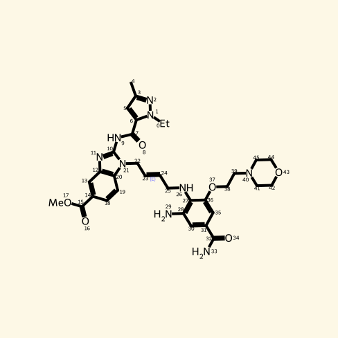 CCn1nc(C)cc1C(=O)Nc1nc2cc(C(=O)OC)ccc2n1C/C=C/CNc1c(N)cc(C(N)=O)cc1OCCN1CCOCC1